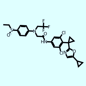 CC[S+]([O-])c1ccc(N(CC(=O)Nc2cc(Cl)c(C3(c4ncc(C5CC5)o4)CC3)c(Cl)c2)CC(F)(F)F)cc1